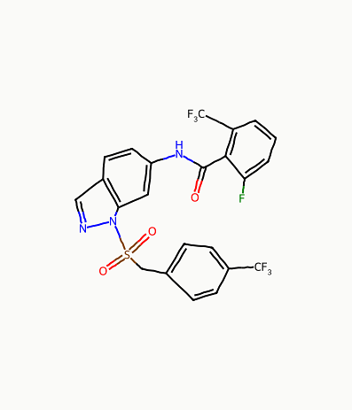 O=C(Nc1ccc2cnn(S(=O)(=O)Cc3ccc(C(F)(F)F)cc3)c2c1)c1c(F)cccc1C(F)(F)F